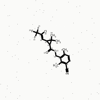 Cc1ccc(C#N)c(C)c1COC(=O)C1C(C=C(Cl)C(F)(F)F)C1(C)C